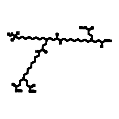 COC(=O)CCN(CCCCCCCCNC(=O)CCN(CCCCCCCCS(C)(Cl)Cl)CCC(=O)NCCCCCCCCN(CCC(=O)OC)CCC(=O)OC)CCC(=O)OC